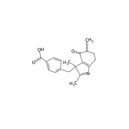 C=C1CCC2=C(C1=O)C(C)(Cc1ccc(C(=O)O)cc1)C(C)=N2